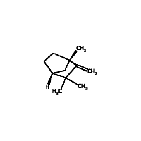 C=C1C(C)(C)[C@@H]2CC[C@@]1(C)C2